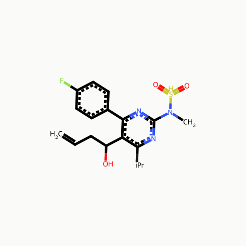 C=CCC(O)c1c(-c2ccc(F)cc2)nc(N(C)[SH](=O)=O)nc1C(C)C